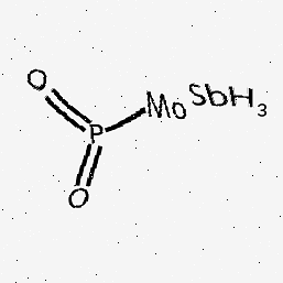 O=[P](=O)[Mo].[SbH3]